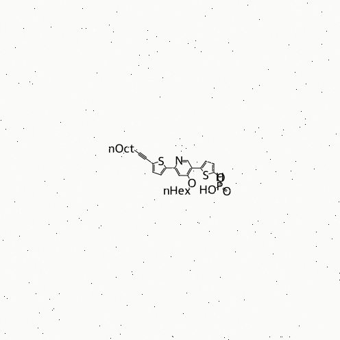 CCCCCCCCC#Cc1ccc(-c2cc(OCCCCCC)c(-c3ccc(O[PH](=O)O)s3)cn2)s1